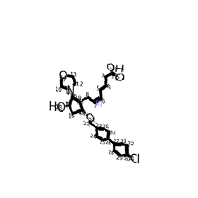 O=C(O)CCC/C=C\C[C@@H]1[C@@H](N2CCOCC2)[C@H](O)C[C@@H]1OCc1ccc(-c2ccc(Cl)cc2)cc1